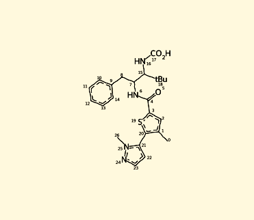 Cc1cc(C(=O)NC(Cc2ccccc2)C(NC(=O)O)C(C)(C)C)sc1-c1ccnn1C